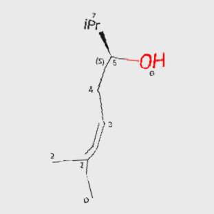 CC(C)=CC[C@H](O)C(C)C